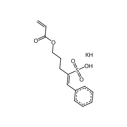 C=CC(=O)OCCCC(=Cc1ccccc1)S(=O)(=O)O.[KH]